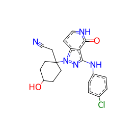 N#CCC1(n2nc(Nc3ccc(Cl)cc3)c3c(=O)[nH]ccc32)CCC(O)CC1